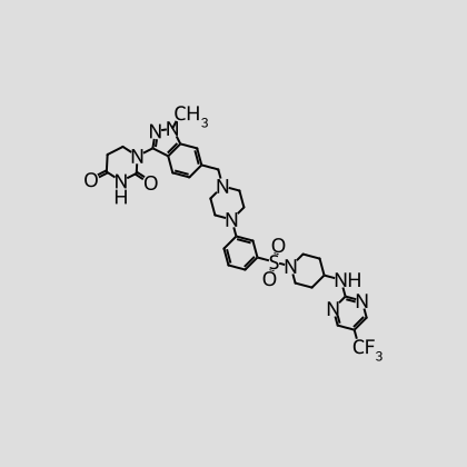 Cn1nc(N2CCC(=O)NC2=O)c2ccc(CN3CCN(c4cccc(S(=O)(=O)N5CCC(Nc6ncc(C(F)(F)F)cn6)CC5)c4)CC3)cc21